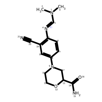 CN(C)/C=N/c1ccc(N2CCOC(C(N)=O)C2)cc1C#N